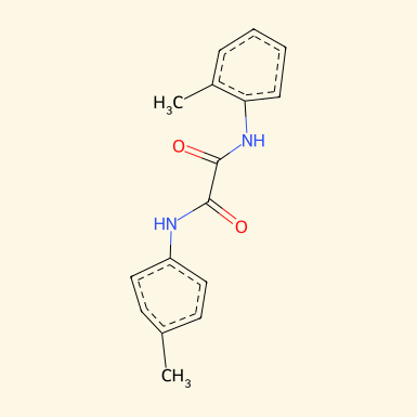 Cc1ccc(NC(=O)C(=O)Nc2ccccc2C)cc1